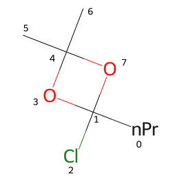 CCCC1(Cl)OC(C)(C)O1